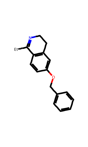 CCC1=NCCc2cc(OCc3ccccc3)ccc21